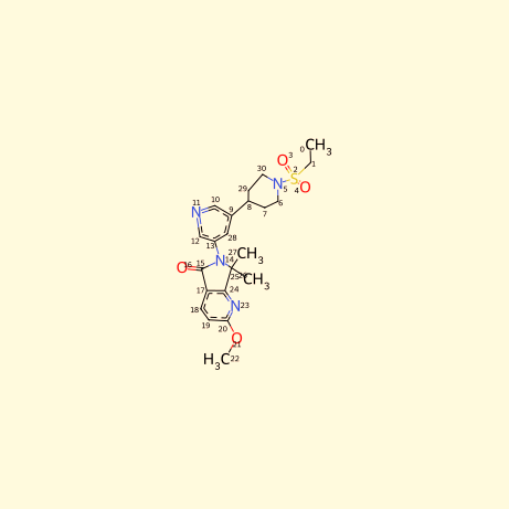 CCS(=O)(=O)N1CCC(c2cncc(N3C(=O)c4ccc(OC)nc4C3(C)C)c2)CC1